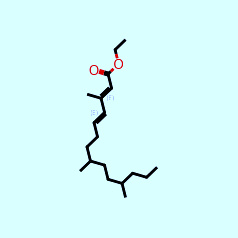 CCCC(C)CCC(C)CC/C=C/C(C)=C/C(=O)OCC